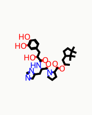 CC(CC1CCC(C)(C)C1(C)C)OC(=O)C1CCCN1C(=O)C(CC1=NC=NC1)NC(=O)C(O)Cc1ccc(O)c(O)c1